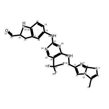 Cc1csc2nc(CNc3nc(Nc4ccc5c(c4)CC(C=O)N5)ncc3C(F)(F)F)cn12